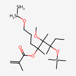 C=C(C)C(=O)OC(C)(CCCO[SiH2][SiH3])C(C)(OC)C(C)(CC)O[Si](C)(C)C